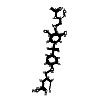 CC(=O)O[C@H](CCl)COc1c(Cl)cc(C(C)(C)c2ccc(OC[C@@H](CF)CC(=O)O)cc2)cc1Cl